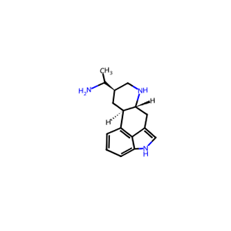 CC(N)[C@H]1CN[C@@H]2Cc3c[nH]c4cccc(c34)[C@H]2C1